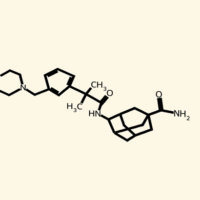 CC(C)(C(=O)NC1C2CC3CC1CC(C(N)=O)(C3)C2)c1cccc(CN2CCOCC2)c1